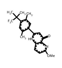 COc1ccc2[nH]c(-c3cc(C)c(C(C)(C)C(F)(F)F)cc3C)cc(=O)c2n1